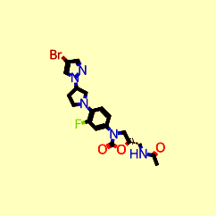 CC(=O)NC[C@H]1CN(c2ccc(N3CCC(n4cc(Br)cn4)C3)c(F)c2)C(=O)O1